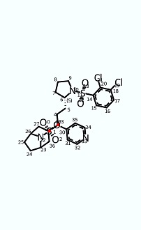 O=S(=O)(CCC[C@@H]1CCCN1S(=O)(=O)c1cccc(Cl)c1Cl)N1C2CCC1CC(Oc1ccncc1)C2